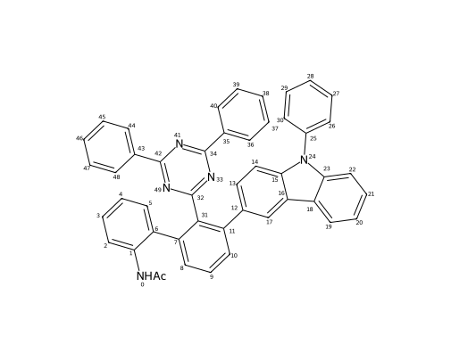 CC(=O)Nc1ccccc1-c1cccc(-c2ccc3c(c2)c2ccccc2n3-c2ccccc2)c1-c1nc(-c2ccccc2)nc(-c2ccccc2)n1